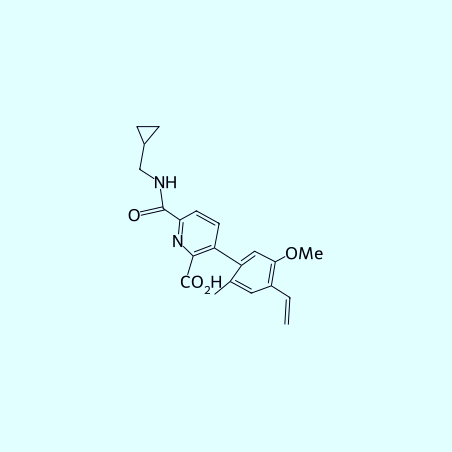 C=Cc1cc(C)c(-c2ccc(C(=O)NCC3CC3)nc2C(=O)O)cc1OC